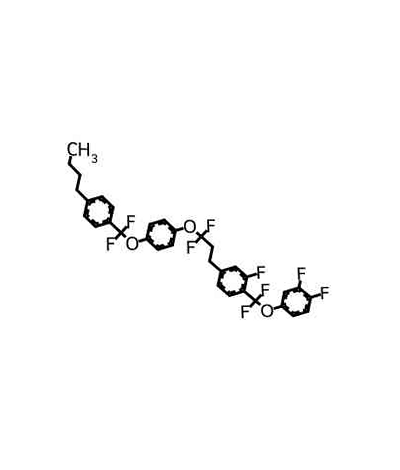 CCCCc1ccc(C(F)(F)Oc2ccc(OC(F)(F)CCc3ccc(C(F)(F)Oc4ccc(F)c(F)c4)c(F)c3)cc2)cc1